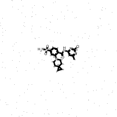 Cc1cc(NC(=O)c2ccc(S(N)(=O)=O)cc2N2CCC3(CC2)CC3)nc(Cl)n1